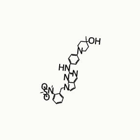 CN(c1ccccc1Cn1ccc2cnc(Nc3ccc(N4CCC(C)(O)CC4)cc3)nc21)S(C)(=O)=O